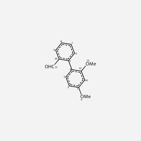 COc1ccc(-c2ccccc2C=O)c(OC)c1